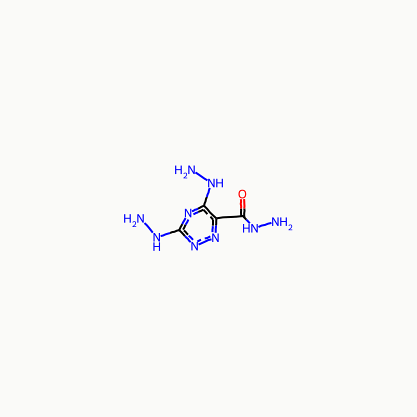 NNC(=O)c1nnc(NN)nc1NN